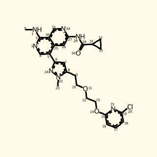 CNc1ncc(-c2cc(CCOCCOc3cccc(Cl)n3)n(C)n2)c2cc(NC(=O)C3CC3)ncc12